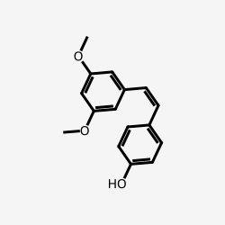 COc1cc(/C=C\c2ccc(O)cc2)cc(OC)c1